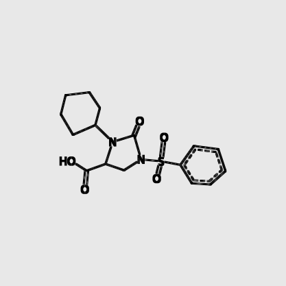 O=C(O)C1CN(S(=O)(=O)c2ccccc2)C(=O)N1C1CCCCC1